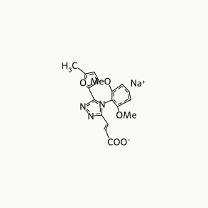 COc1cccc(OC)c1-n1c(/C=C/C(=O)[O-])nnc1-c1ccc(C)o1.[Na+]